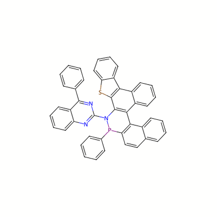 c1ccc(-c2nc(N3c4c(c5ccccc5c5c4sc4ccccc45)-c4c(ccc5ccccc45)P3c3ccccc3)nc3ccccc23)cc1